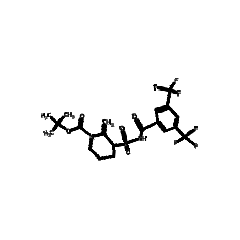 C=C1C(S(=O)(=O)NC(=O)c2cc(C(F)(F)F)cc(C(F)(F)F)c2)CCCN1C(=O)OC(C)(C)C